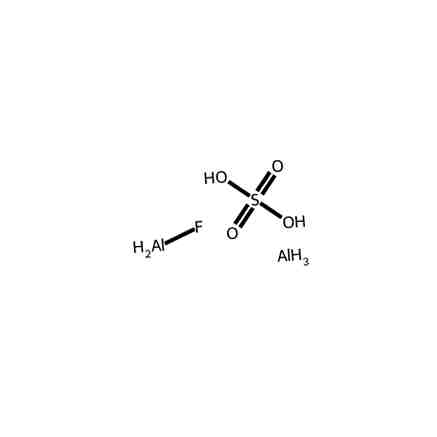 O=S(=O)(O)O.[AlH3].[F][AlH2]